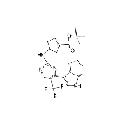 CC(C)(C)OC(=O)N1CCC(Nc2ncc(C(F)(F)F)c(-c3c[nH]c4ccccc34)n2)C1